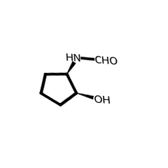 O=CN[C@@H]1CCC[C@@H]1O